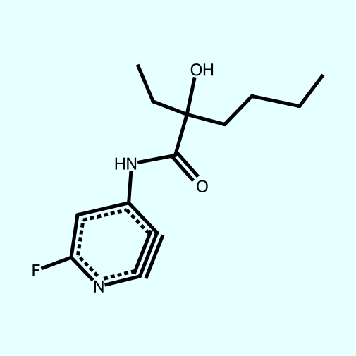 CCCCC(O)(CC)C(=O)Nc1c#cnc(F)c1